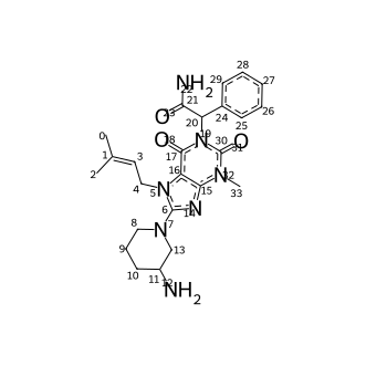 CC(C)=CCn1c(N2CCCC(N)C2)nc2c1c(=O)n(C(C(N)=O)c1ccccc1)c(=O)n2C